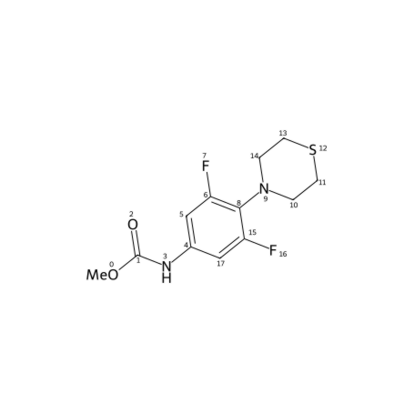 COC(=O)Nc1cc(F)c(N2CCSCC2)c(F)c1